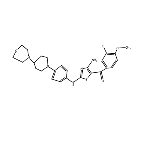 COc1ccc(C(=O)c2sc(Nc3ccc(N4CCC(N5CCOCC5)CC4)cc3)nc2N)cc1F